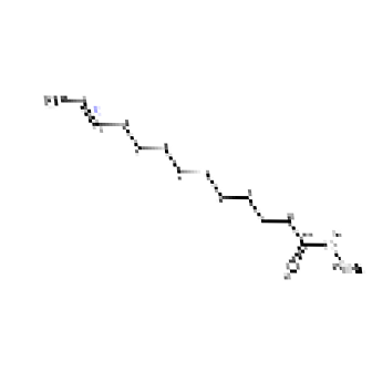 CC/C=C/CCCCCCCCCC(=O)OCCCC